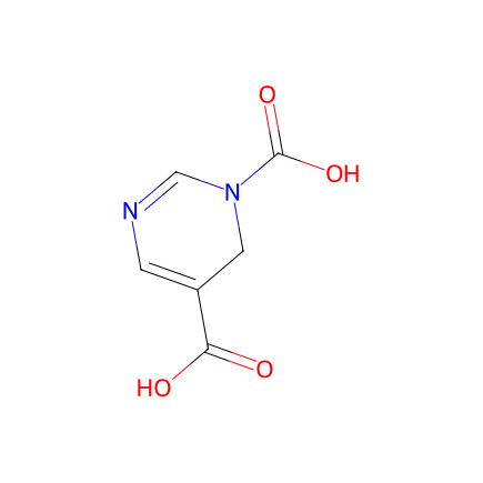 O=C(O)C1=CN=CN(C(=O)O)C1